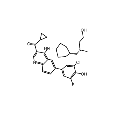 CN(CCO)C[C@H]1CC[C@H](Nc2c(C(=O)C3CC3)cnc3ccc(-c4cc(F)c(O)c(Cl)c4)cc23)CC1